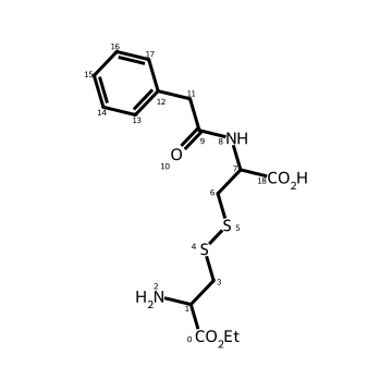 CCOC(=O)C(N)CSSCC(NC(=O)Cc1ccccc1)C(=O)O